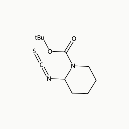 CC(C)(C)OC(=O)N1CCCCC1N=C=S